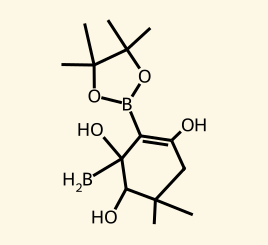 BC1(O)C(B2OC(C)(C)C(C)(C)O2)=C(O)CC(C)(C)C1O